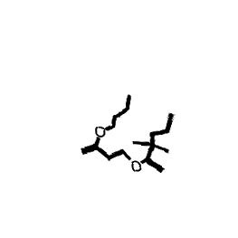 C=C(CCOC(=C)C(C)(C)CCC)OCCCC